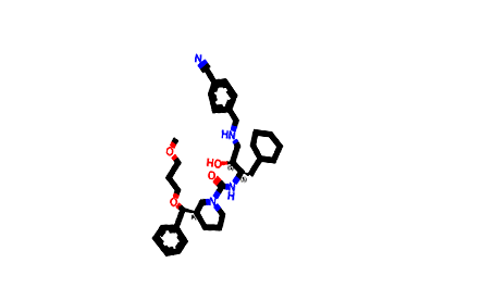 COCCCOC(c1ccccc1)[C@@H]1CCCN(C(=O)N[C@@H](CC2CCCCC2)[C@@H](O)CNCc2ccc(C#N)cc2)C1